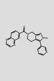 Cn1nc2c(c1-c1cccnc1)CCN(C(=O)c1ccc3nccnc3c1)C2